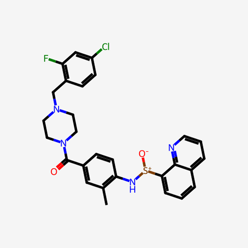 Cc1cc(C(=O)N2CCN(Cc3ccc(Cl)cc3F)CC2)ccc1N[S+]([O-])c1cccc2cccnc12